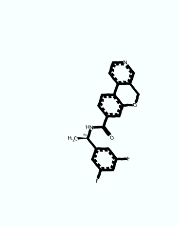 C[C@@H](NC(=O)c1ccc2c(c1)OCc1cnccc1-2)c1cc(F)cc(F)c1